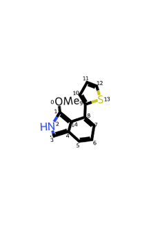 COc1[nH][c]c2cccc(-c3cccs3)c12